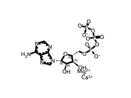 Nc1ncnc2c1ncn2[C@@H]1O[C@H](COP(=O)([O-])OP(=O)([O-])OP(=O)([O-])[O-])[C@@H](O)[C@H]1O.[Ca+2].[Mg+2]